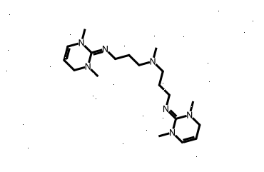 CN(CCCN=C1N(C)C=CCN1C)CCCN=C1N(C)C=CCN1C